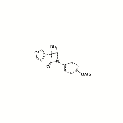 COc1ccc(N2CC(N)(c3ccoc3)C2=O)cc1